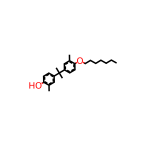 CCCCCCCOc1ccc(C(C)(C)c2ccc(O)c(C)c2)cc1C